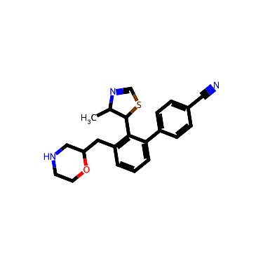 CC1N=CSC1c1c(CC2CNCCO2)cccc1-c1ccc(C#N)cc1